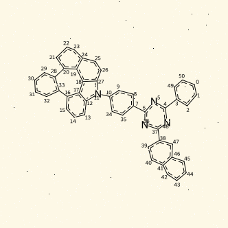 c1ccc(-c2nc(-c3ccc(-n4c5cccc6c5c5c7c(cccc7ccc54)-c4ccccc4-6)cc3)nc(-c3ccc4ccccc4c3)n2)cc1